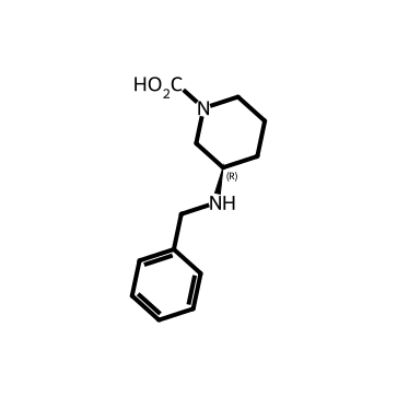 O=C(O)N1CCC[C@@H](NCc2ccccc2)C1